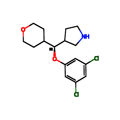 Clc1cc(Cl)cc(O[C@@H](C2CCOCC2)C2CCNC2)c1